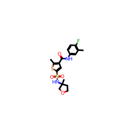 Cc1cc(NC(=O)c2cc(S(=O)(=O)NC3(C)CCOC3)sc2C)ccc1F